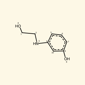 OCCNc1cccc(O)c1